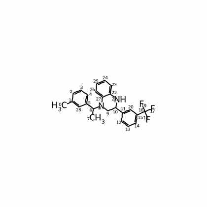 Cc1cccc(C(C)N2CC(c3cccc(C(F)(F)F)c3)Nc3ccccc32)c1